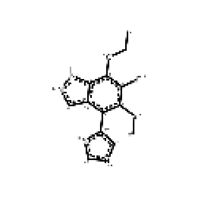 CCOc1c(F)c(SC)c(-c2cncs2)c2cn[nH]c12